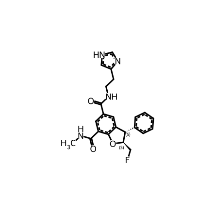 CNC(=O)c1cc(C(=O)NCCc2c[nH]cn2)cc2c1O[C@H](CF)[C@H]2c1ccccc1